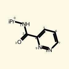 CC(C)NC(=O)c1cccnn1